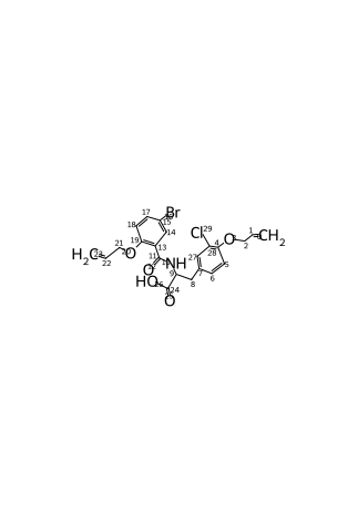 C=CCOc1ccc(CC(NC(=O)c2cc(Br)ccc2OCC=C)C(=O)O)cc1Cl